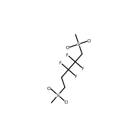 C[Si](Cl)(Cl)CCC(F)(F)C(F)(F)C[Si](C)(Cl)Cl